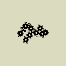 c1ccc(-c2ccc(N(c3ccc(-c4ccc5ccccc5c4)c(-c4ccccc4)c3)c3ccc4oc5ccc6nc(-c7ccccc7)sc6c5c4c3)cc2)cc1